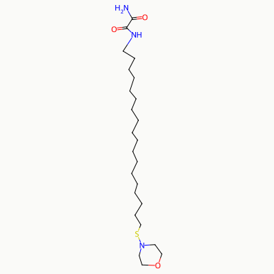 NC(=O)C(=O)NCCCCCCCCCCCCCCCCCCSN1CCOCC1